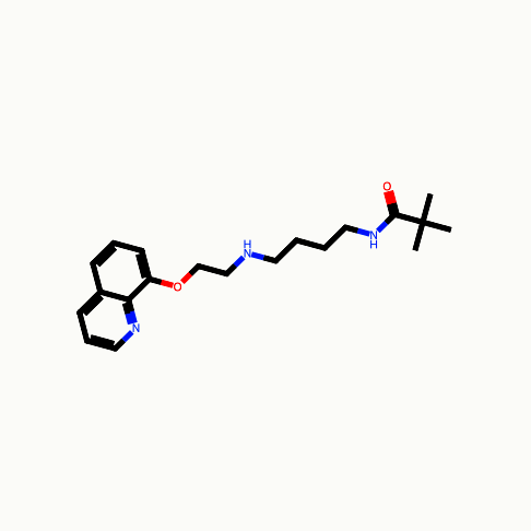 CC(C)(C)C(=O)NCCCCNCCOc1cccc2cccnc12